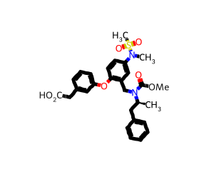 COC(=O)N(Cc1cc(N(C)S(C)(=O)=O)ccc1Oc1cccc(CC(=O)O)c1)[C@@H](C)Cc1ccccc1